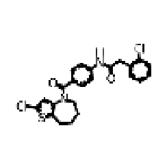 O=C(Cc1ccccc1Cl)Nc1ccc(C(=O)N2CCCCc3sc(Cl)cc32)cc1